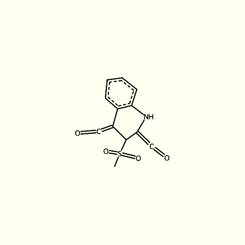 CS(=O)(=O)C1C(=C=O)Nc2ccccc2C1=C=O